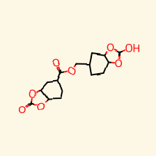 O=C1OC2CCC(C(=O)OCC3CCC4OC(O)OC4C3)CC2O1